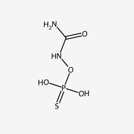 NC(=O)NOP(O)(O)=S